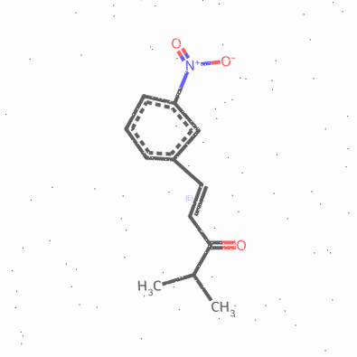 CC(C)C(=O)/C=C/c1cccc([N+](=O)[O-])c1